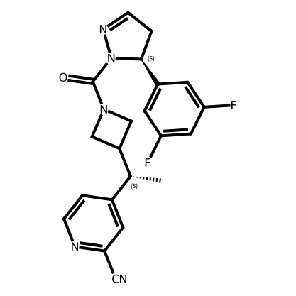 C[C@H](c1ccnc(C#N)c1)C1CN(C(=O)N2N=CC[C@H]2c2cc(F)cc(F)c2)C1